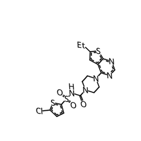 CCc1cc2c(N3CCN(C(=O)NS(=O)(=O)c4ccc(Cl)s4)CC3)ncnc2s1